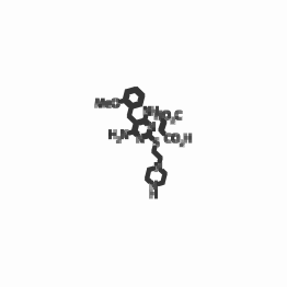 COc1ccccc1Cc1c(N)nc(SCCN2CCNCC2)nc1N.O=C(O)/C=C/C(=O)O